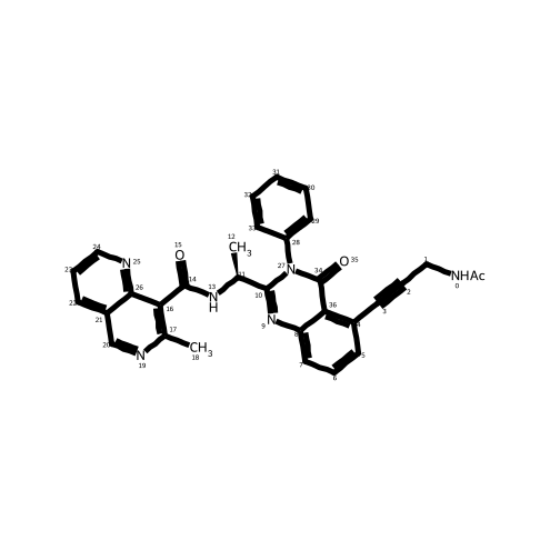 CC(=O)NCC#Cc1cccc2nc([C@H](C)NC(=O)c3c(C)ncc4cccnc34)n(-c3ccccc3)c(=O)c12